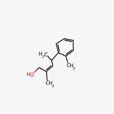 C/C(=C/C(C)c1ccccc1C)CO